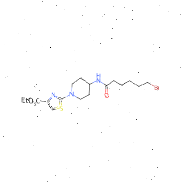 CCOC(=O)c1csc(N2CCC(NC(=O)CCCCCBr)CC2)n1